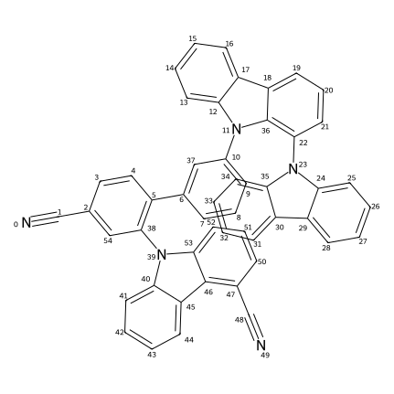 N#Cc1ccc(-c2cccc(-n3c4ccccc4c4cccc(-n5c6ccccc6c6ccccc65)c43)c2)c(-n2c3ccccc3c3c(C#N)cccc32)c1